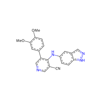 COc1ccc(-c2cncc(C#N)c2Nc2ccc3[nH]ncc3c2)cc1OC